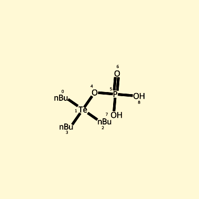 CCCC[Te](CCCC)(CCCC)OP(=O)(O)O